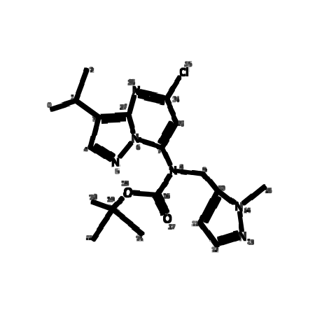 CC(C)c1cnn2c(N(Cc3ccnn3C)C(=O)OC(C)(C)C)cc(Cl)nc12